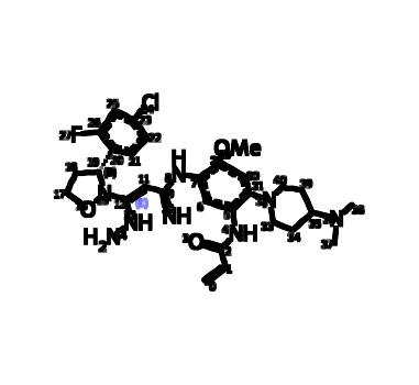 C=CC(=O)Nc1cc(NC(=N)/C=C(\NN)N2OCC[C@@H]2c2ccc(Cl)cc2F)c(OC)cc1N1CCC(N(C)C)CC1